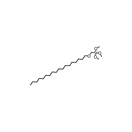 CCCCCCCCCCCCCCCCCCOC[Si](OC)(OC)OC